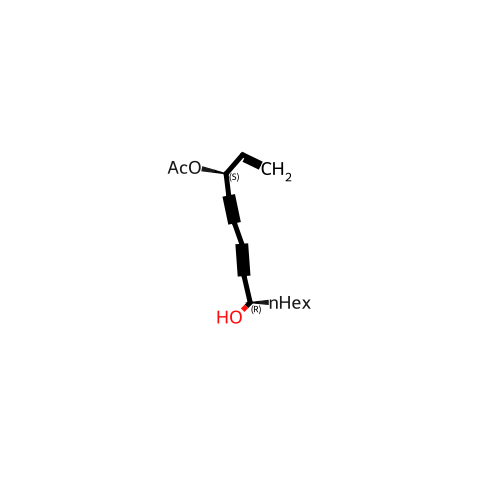 C=C[C@@H](C#CC#C[C@H](O)CCCCCC)OC(C)=O